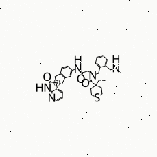 CCC1(C(=O)N(CC(=O)Nc2ccc3c(c2)C[C@@]2(C3)C(=O)Nc3ncccc32)Cc2ccccc2CNC)CCSCC1